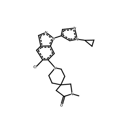 CN1CC2(CCN(c3cc4c(cnn4-c4cnn(C5CC5)c4)cc3Cl)CC2)CC1=O